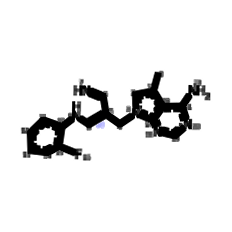 Cc1cn(C/C(C=N)=C/Nc2ccccc2F)c2ncnc(N)c12